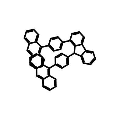 c1ccc2c(c1)-c1cccc(-c3ccc(-c4c5ccccc5cc5ccccc45)cc3)c1C2c1ccc(-c2c3ccccc3cc3ccccc23)cc1